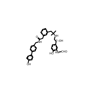 CC(C)(Cc1cccc(CC(=O)NCc2ccc(-c3ccc(O)cc3)cc2)c1)NC[C@H](O)c1ccc(O)c(NC=O)c1